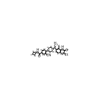 CCc1nc2ccc(C(C)N3CCN(c4ccc(C(=O)NC5CCC5)nc4C#N)CC3)c(F)c2[nH]c1=O